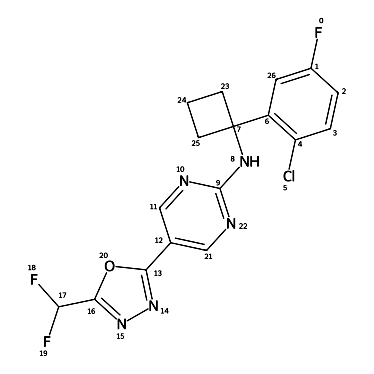 Fc1ccc(Cl)c(C2(Nc3ncc(-c4nnc(C(F)F)o4)cn3)CCC2)c1